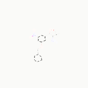 CC(C)(C)C(N)C(O)c1cc(OCc2ccccc2)cc([N+](=O)[O-])c1.Cl